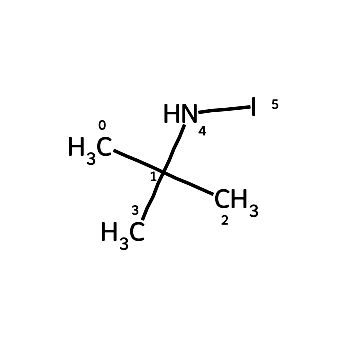 CC(C)(C)NI